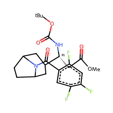 COC(=O)C[C@@H](NC(=O)OC(C)(C)C)C1CC2CCC(C1)N2C(=O)c1cc(F)c(F)cc1F